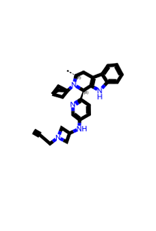 C#CCN1CC(Nc2ccc([C@@H]3c4[nH]c5ccccc5c4C[C@@H](C)N3C34CC(C3)C4)nc2)C1